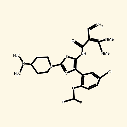 C=CC(C(=O)Nc1sc(N2CCC(N(C)C)CC2)nc1-c1cc(Cl)ccc1OC(F)F)=C(NC)NC